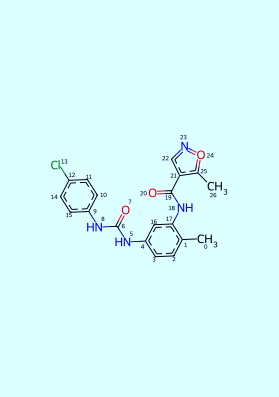 Cc1ccc(NC(=O)Nc2ccc(Cl)cc2)cc1NC(=O)c1cnoc1C